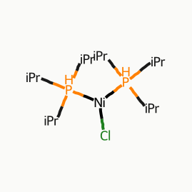 CC(C)[PH](C(C)C)(C(C)C)[Ni]([Cl])[PH](C(C)C)(C(C)C)C(C)C